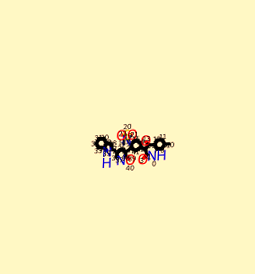 CNC(=O)c1c(-c2ccc(C)cc2)oc2cc(N(C)S(C)(=O)=O)c(-c3cc(-c4cc5ccccc5[nH]4)cnc3OC)cc12